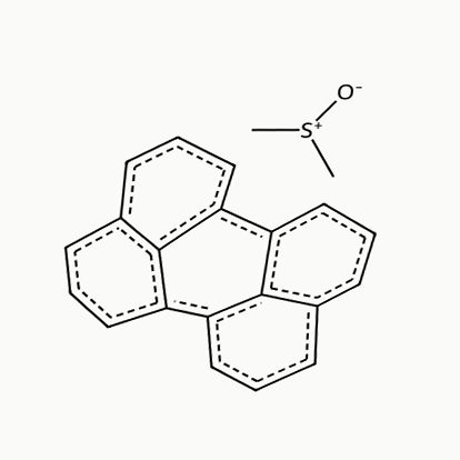 C[S+](C)[O-].c1cc2cccc3c4cccc5cccc(c(c1)c23)c54